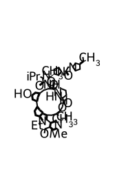 C/C=C1/CCN(CC(=O)N2CC[C@H](C(=O)N(C)C(C(=O)N[C@H]3Cc4cc(O)cc(c4)-c4ccc5c(c4)c(c(-c4cnccc4COC)n5CC)CC(C)(C)COC(=O)[C@@H]4CCCN(N4)C3=O)C(C)C)C2)C1